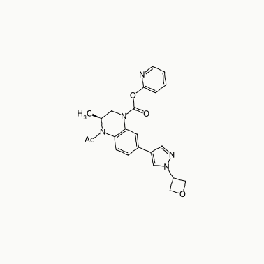 CC(=O)N1c2ccc(-c3cnn(C4COC4)c3)cc2N(C(=O)Oc2ccccn2)C[C@@H]1C